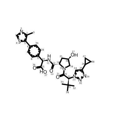 Cc1ncsc1-c1ccc([C@@H](NC(=O)[C@@H]2C[C@@H](O)CN2C(=O)[C@@H](n2cc(C3CC3)nn2)C(C)(C)C)C(=O)O)cc1